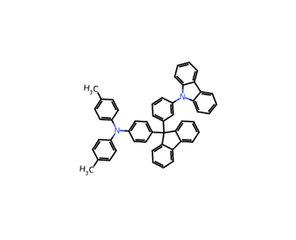 Cc1ccc(N(c2ccc(C)cc2)c2ccc(C3(c4cccc(-n5c6ccccc6c6ccccc65)c4)c4ccccc4-c4ccccc43)cc2)cc1